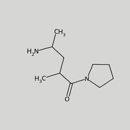 CC(N)CC(C)C(=O)N1CCCC1